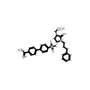 N=C(N)c1ccc(-c2ccc(S(=O)(=O)C[C@@H]3C[C@@H](CC(=O)O)C(=O)N3CCCc3ccccc3)cc2)cc1